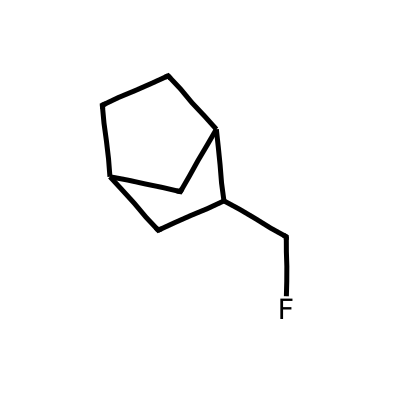 FCC1CC2CCC1C2